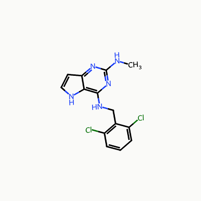 CNc1nc(NCc2c(Cl)cccc2Cl)c2[nH]ccc2n1